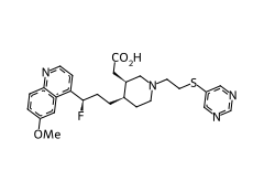 COc1ccc2nccc([C@H](F)CC[C@@H]3CCN(CCSc4cncnc4)C[C@@H]3CC(=O)O)c2c1